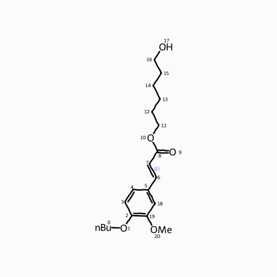 CCCCOc1ccc(/C=C/C(=O)OCCCCCCO)cc1OC